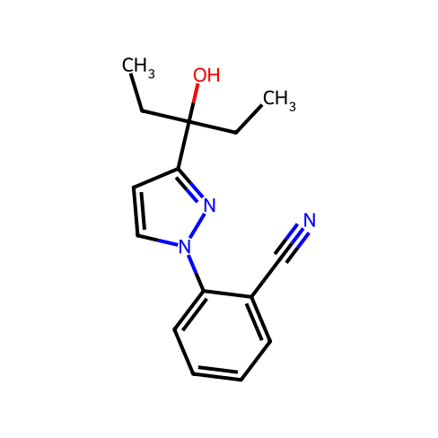 CCC(O)(CC)c1ccn(-c2ccccc2C#N)n1